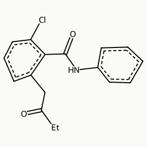 CCC(=O)Cc1cccc(Cl)c1C(=O)Nc1ccccc1